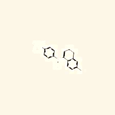 Cc1ccc2c(c1)CCC=C2[S+]([O-])c1ccc(C(F)(F)F)cc1